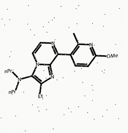 CCCN(CCC)c1c(CC)nc2c(-c3ccc(OC)nc3C)nccn12